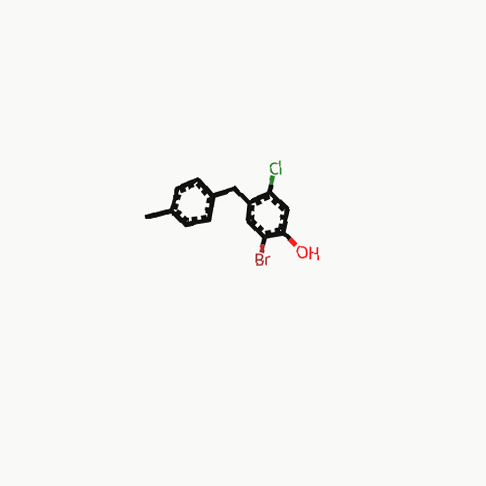 Cc1ccc(Cc2cc(Br)c(O)cc2Cl)cc1